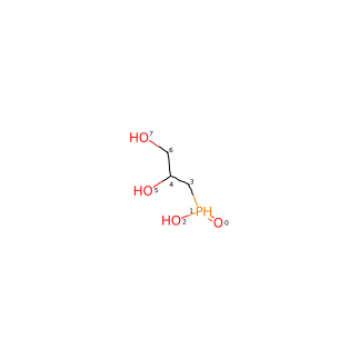 O=[PH](O)CC(O)CO